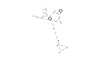 CCCCCC(=O)/N=C/C(CSCc1cc(CSCCNC(=O)COCCOCCNC(=O)CCC(C(=O)O)N2CCN(CC(=O)O)CCN(CC(=O)O)CC2)cc(CSCC(NC(=O)[C@H](Cc2ccccc2)NC(=O)[C@H](CCC(N)=O)NC(=O)[C@@H](C)CC)C(N)=O)c1)C(=O)N1CCC[C@H]1C(=O)N1CCC[C@H]1C(N)=O